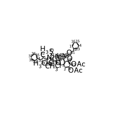 CC(=O)Oc1cc(Cl)c(C(NC(=O)OCc2ccccc2)C(=O)N[C@H]2C(=S)N3[C@@H]2SC(C)(C)[C@@H]3C(C)Cc2ccccc2)cc1OC(C)=O